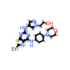 CCc1nc2c(N[C@H]3CC[C@H](N4CCOCC4)CC3)nc(Nc3cnn(CCO)c3)nc2s1